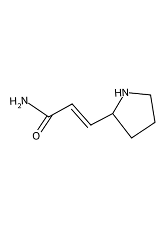 NC(=O)/C=C/C1CCCN1